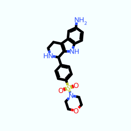 Nc1ccc2[nH]c3c(c2c1)CCNC3c1ccc(S(=O)(=O)N2CCOCC2)cc1